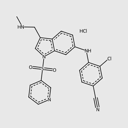 CNCc1cn(S(=O)(=O)c2cccnc2)c2cc(Nc3ccc(C#N)cc3Cl)ccc12.Cl